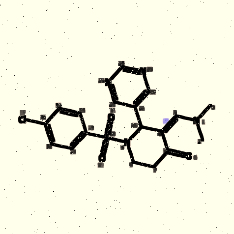 CN(C)/C=C1\C(=O)CCN(S(=O)(=O)c2ccc(Cl)cc2)C1c1cncnc1